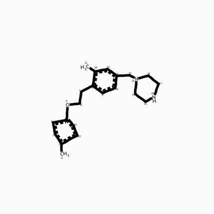 Cc1ccc(OCCc2ccc(CN3CCNCC3)cc2C)cc1